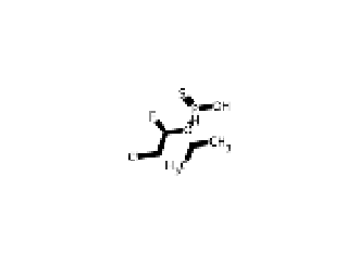 CCC.O[PH](=S)OC(F)CCl